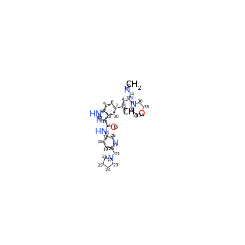 C=N/C=C(\C=C(/C)c1ccc2[nH]nc(C(=O)Nc3ccc(CN4CCCC4)nc3)c2c1)N1CCOCC1